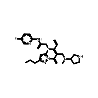 C=CC1=C(CN(C)C2CCNC2)C(=C)n2nc(CCC)cc2N1CC(=C)Nc1ccc(F)cn1